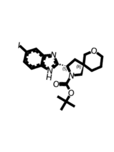 CC(C)(C)OC(=O)N1C[C@@]2(CCCOC2)C[C@H]1c1nc2cc(I)ccc2[nH]1